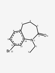 CCN1C(=O)CCCc2ccc(Br)cc21